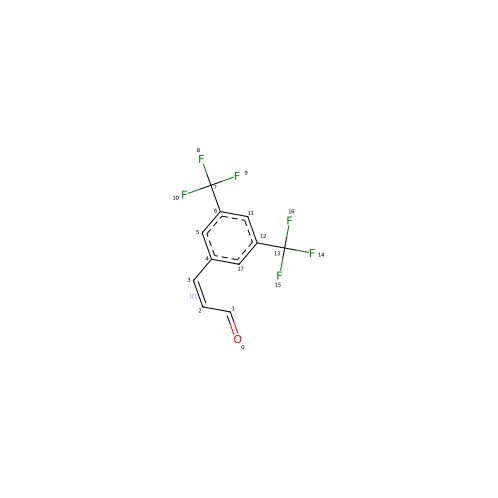 O=C/C=C\c1cc(C(F)(F)F)cc(C(F)(F)F)c1